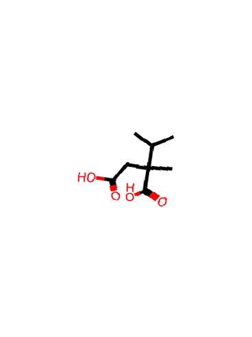 CC(C)C(C)(CC(=O)O)C(=O)O